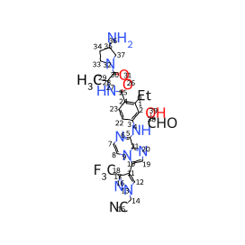 CCc1cc(Nc2nccn3c(-c4cn(CC#N)nc4C(F)(F)F)cnc23)ccc1C(=O)NC(C)C(=O)N1CC[C@@H](N)C1.O=CO